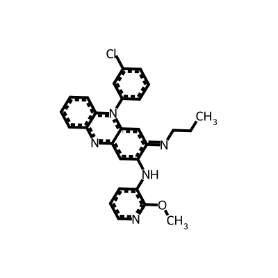 CCCN=c1cc2n(-c3cccc(Cl)c3)c3ccccc3nc-2cc1Nc1cccnc1OC